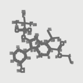 CCOC(=O)c1cnc2c(-c3cccc(Cl)c3)c(OS(=O)(=O)C(F)(F)F)nn2c1C(C)C